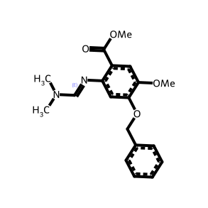 COC(=O)c1cc(OC)c(OCc2ccccc2)cc1/N=C/N(C)C